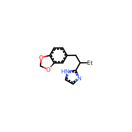 CCC(Cc1ccc2c(c1)OCO2)c1ncc[nH]1